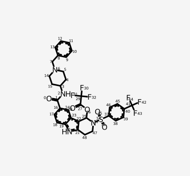 O=C(NC1CCN(Cc2ccccc2)CC1)c1ccc2[nH]c3c(c2c1)C(OC(=O)C(F)(F)F)N(S(=O)(=O)c1ccc(C(F)(F)F)cc1)CC3